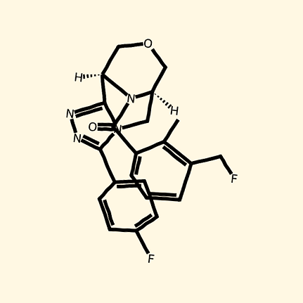 Cc1c(CF)cccc1C(=O)N1[C@H]2COC[C@@H]1c1nnc(-c3ccc(F)cc3)n1C2